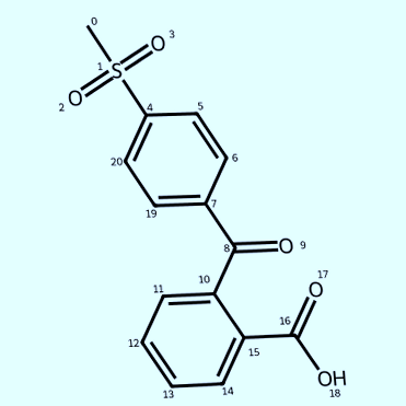 CS(=O)(=O)c1ccc(C(=O)c2ccccc2C(=O)O)cc1